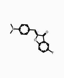 CN(C)c1ccc(/C=C2\Oc3ccc(F)cc3C2=O)cc1